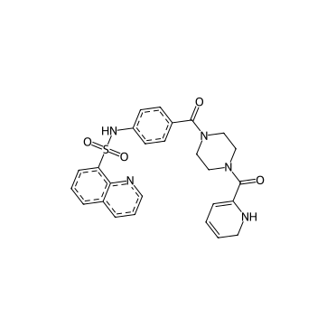 O=C(C1=CC=CCN1)N1CCN(C(=O)c2ccc(NS(=O)(=O)c3cccc4cccnc34)cc2)CC1